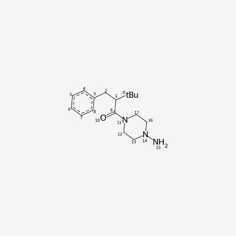 CC(C)(C)C(Cc1ccccc1)C(=O)N1CCN(N)CC1